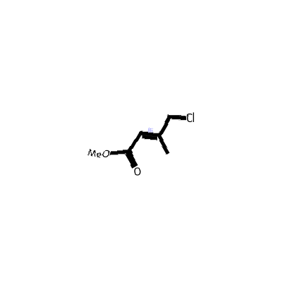 COC(=O)/C=C(\C)CCl